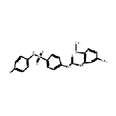 COc1ccc(C)cc1NC(=S)Nc1ccc(S(=O)(=O)Nc2ccc(Cl)cc2)cc1